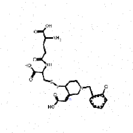 NC(CCC(=O)NC(CSSC1CCN(Cc2ccccc2Cl)C/C1=C/C(=O)O)C(=O)O)C(=O)O